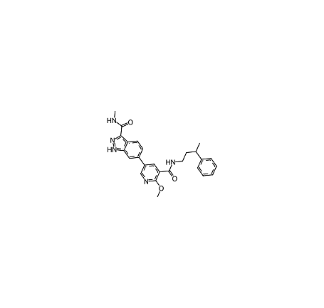 CNC(=O)c1n[nH]c2cc(-c3cnc(OC)c(C(=O)NCCC(C)c4ccccc4)c3)ccc12